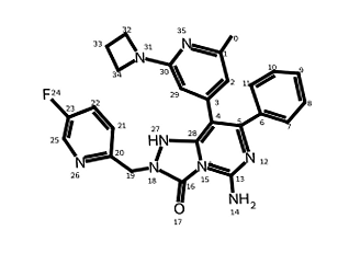 Cc1cc(-c2c(-c3ccccc3)nc(N)[n+]3c(=O)n(Cc4ccc(F)cn4)[nH]c23)cc(N2CCC2)n1